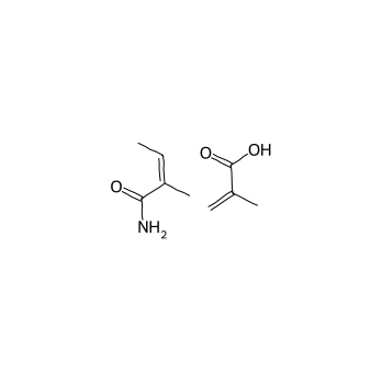 C=C(C)C(=O)O.CC=C(C)C(N)=O